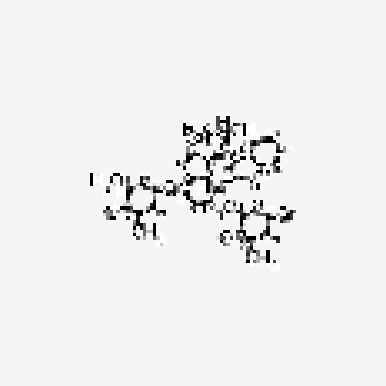 CC1=Cc2ccccc2[CH]1[Zr+2]([CH]1C(C)=Cc2ccccc21)[SiH](C)C.Cc1cc(Br)cc(C)c1[O-].Cc1cc(Br)cc(C)c1[O-]